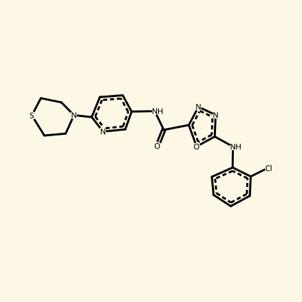 O=C(Nc1ccc(N2CCSCC2)nc1)c1nnc(Nc2ccccc2Cl)o1